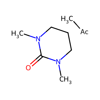 CC(C)=O.CN1CCCN(C)C1=O